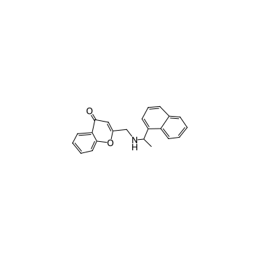 CC(NCc1cc(=O)c2ccccc2o1)c1cccc2ccccc12